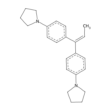 CC=C(c1ccc(N2CCCC2)cc1)c1ccc(N2CCCC2)cc1